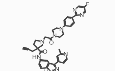 C#CCC1(C(=O)Nc2ccc3[nH]nc(-c4ccnc(C)c4)c3c2)CCN(CC(=O)N2CCN(c3ccc(-c4ncc(F)cn4)cc3)CC2)C1